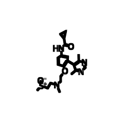 Cc1ncnc(C)c1-c1cc(NC(=O)C2CC2)ccc1OCCN(C)CC[S+](C)[O-]